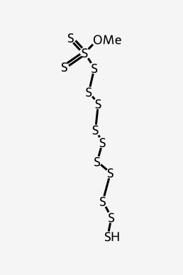 COS(=S)(=S)SSSSSSSSSS